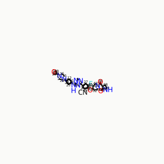 N#Cc1cc(-c2ncnc(Nc3ccc(N4CCN(C5COC5)CC4)cc3)n2)ccc1OC1CCN(C(=O)C2CCNC2=O)CC1F